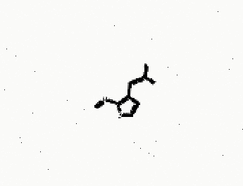 C=Nc1sccc1C=C(C)C